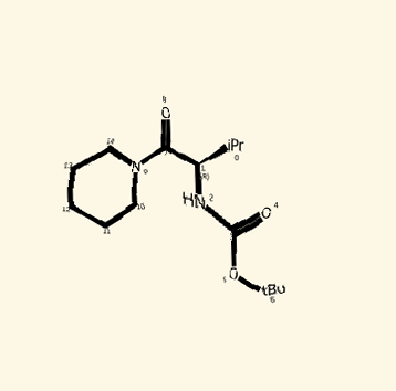 CC(C)[C@@H](NC(=O)OC(C)(C)C)C(=O)N1CCCCC1